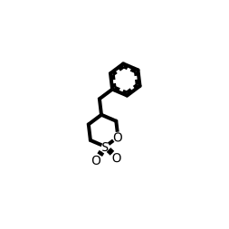 O=S1(=O)CCC(Cc2ccccc2)CO1